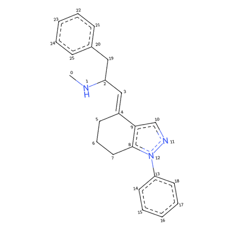 CNC(C=C1CCCc2c1cnn2-c1ccccc1)Cc1ccccc1